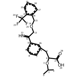 CC(C)OC(Cc1cccc(C(=N)COCc2ccccc2C(F)(F)F)c1)C(=O)O